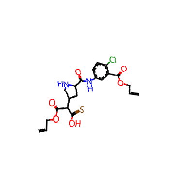 C=CCOC(=O)c1cc(NC(=O)C2CC(C(C(=O)OCC=C)C(O)=S)CN2)ccc1Cl